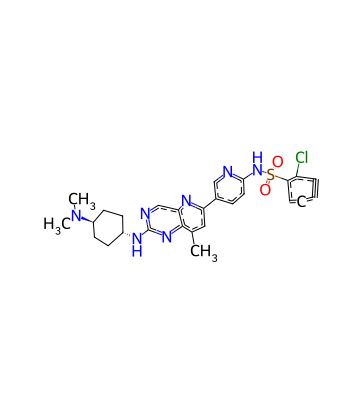 Cc1cc(-c2ccc(NS(=O)(=O)c3ccc#cc3Cl)nc2)nc2cnc(N[C@H]3CC[C@H](N(C)C)CC3)nc12